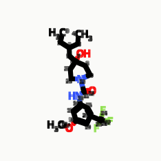 CCC(CC)CC1(O)CCN(C(=O)Nc2cc(OC)cc(C(F)(F)F)c2)CC1